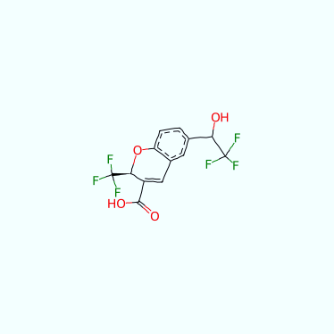 O=C(O)C1=Cc2cc(C(O)C(F)(F)F)ccc2O[C@@H]1C(F)(F)F